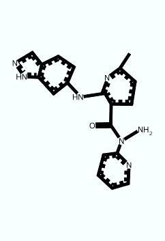 Cc1ccc(C(=O)N(N)c2ccccn2)c(Nc2ccc3cn[nH]c3c2)n1